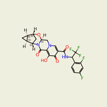 O=C(NC(c1ccc(F)cc1F)C(F)(F)F)c1cn2c(c(O)c1=O)C(=O)N1[C@H](C2)O[C@@H]2C[C@H]1[C@H]1C[C@H]12